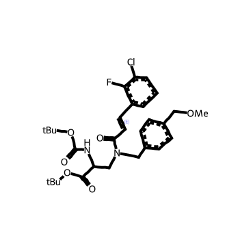 COCc1ccc(CN(CC(NC(=O)OC(C)(C)C)C(=O)OC(C)(C)C)C(=O)/C=C/c2cccc(Cl)c2F)cc1